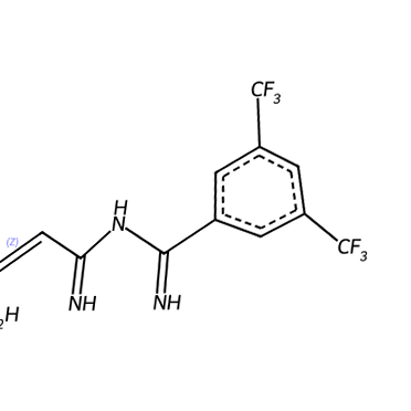 N=C(/C=C\C(=O)O)NC(=N)c1cc(C(F)(F)F)cc(C(F)(F)F)c1